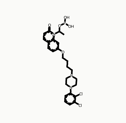 CC(OP(O)O)n1c(=O)ccc2ccc(OCCCCN3CCN(c4cccc(Cl)c4Cl)CC3)cc21